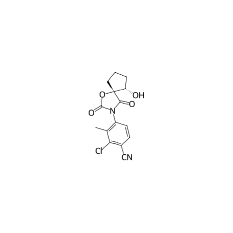 Cc1c(N2C(=O)O[C@@]3(CCC[C@@H]3O)C2=O)ccc(C#N)c1Cl